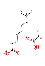 CC(C)CCCCCCC(=O)O.CCC(=O)O